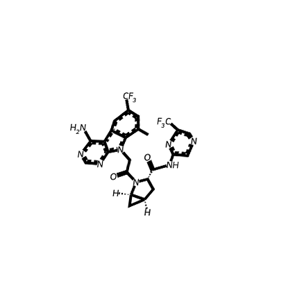 Cc1cc(C(F)(F)F)cc2c3c(N)ncnc3n(CC(=O)N3[C@@H]4C[C@@H]4C[C@H]3C(=O)Nc3cncc(C(F)(F)F)n3)c12